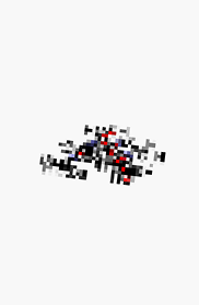 C=CCc1ccccc1O.CC(C)(C)c1cc(/C=C/C(=O)O)cc(C(C)(C)C)c1O.CC(C)(C)c1cc(/C=C/C(=O)O)cc(C(C)(C)C)c1O.CC(C)(C)c1cc(/C=C/C(=O)O)cc(C(C)(C)C)c1O.CC(C)(C)c1cc(/C=C/C(=O)O)cc(C(C)(C)C)c1O.OCC(CO)(CO)CO